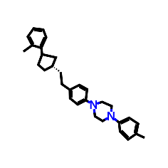 Cc1ccc(N2CCN(c3ccc(CC[C@@H]4CCC(c5ccccc5C)C4)cc3)CC2)cc1